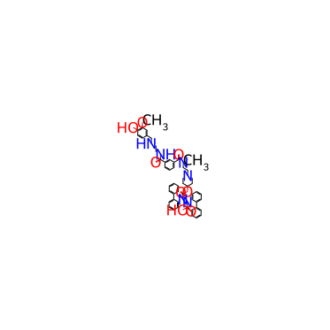 COc1cc(CNCCNC(=O)c2cccc(C(=O)N(C)CCN3CCC(OC(=O)N(c4ccccc4-c4ccccc4)N(C(=O)O)c4ccccc4-c4ccccc4)CC3)c2)ccc1O